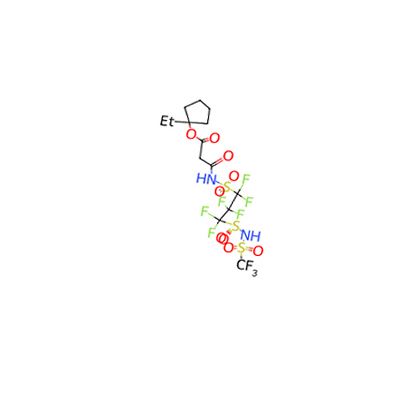 CCC1(OC(=O)CC(=O)NS(=O)(=O)C(F)(F)C(F)(F)C(F)(F)S(=O)(=O)NS(=O)(=O)C(F)(F)F)CCCC1